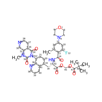 Cc1cc(N2CCOCC2)cc(F)c1C(=O)N[C@@H](Cc1ccc(-n2c(=O)c3ccncc3n(C)c2=O)c2ncccc12)C(=O)OCOC(=O)C(C)(C)C